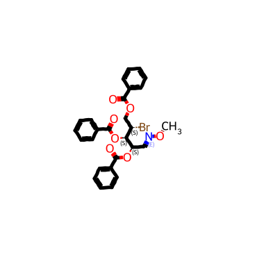 CO/N=C/[C@H](OC(=O)c1ccccc1)[C@H](OC(=O)c1ccccc1)[C@@H](Br)COC(=O)c1ccccc1